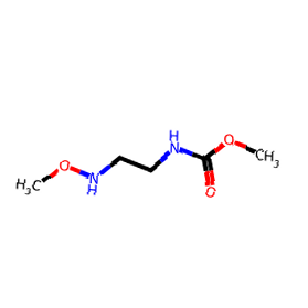 CONCCNC(=O)OC